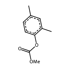 COC(=O)Oc1ccc(C)cc1C